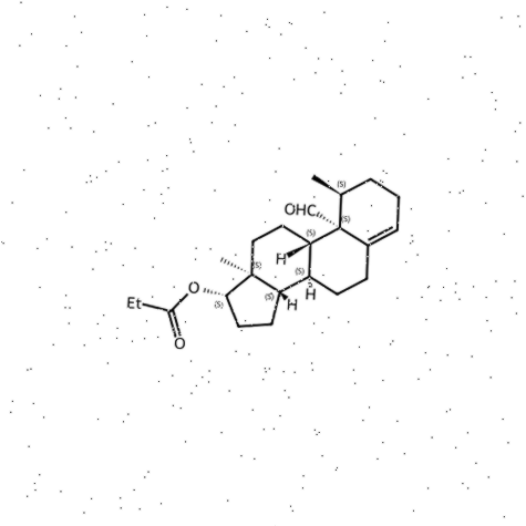 CCC(=O)O[C@H]1CC[C@H]2[C@@H]3CCC4=CCC[C@H](C)[C@]4(C=O)[C@H]3CC[C@]12C